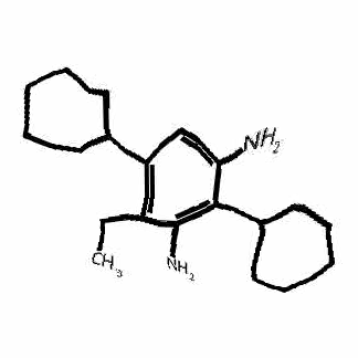 CCc1c(C2CCCCC2)cc(N)c(C2CCCCC2)c1N